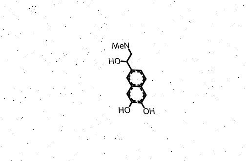 CNCC(O)c1ccc2cc(O)c(O)cc2c1